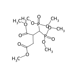 COC(=O)CC(C(=O)OC)C(P(=O)(OC)OC)P(=O)(OC)OC